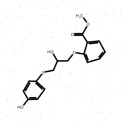 COC(=O)c1ccccc1OCC(O)CSc1ccc(O)cc1